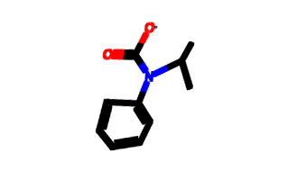 CC(C)N(C([O])=O)c1ccccc1